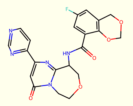 O=C(NC1COCCn2c1nc(-c1ccncn1)cc2=O)c1cc(F)cc2c1OCOC2